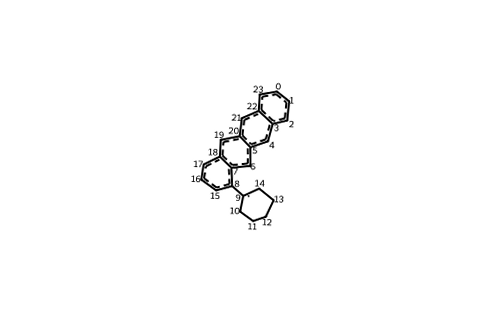 c1ccc2cc3cc4c([C]5CCCCC5)cccc4cc3cc2c1